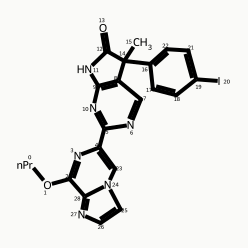 CCCOc1nc(-c2ncc3c(n2)NC(=O)C3(C)c2ccc(I)cc2)cn2ccnc12